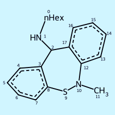 CCCCCCNC1c2ccccc2SN(C)c2ccccc21